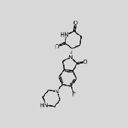 O=C1CC[C@H](N2Cc3cc(N4CCNCC4)c(F)cc3C2=O)C(=O)N1